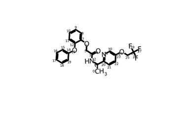 C[C@@H](NC(=O)COc1ccccc1Oc1ccccc1)c1ccc(OCC(F)(F)F)cn1